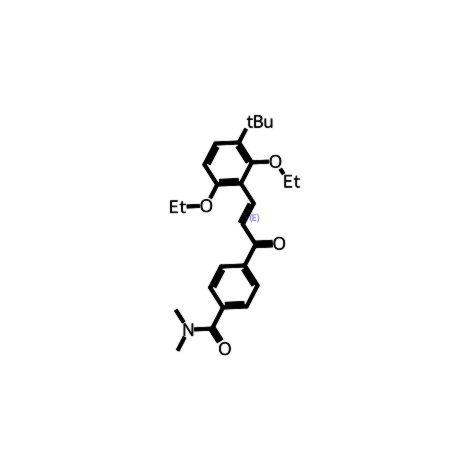 CCOc1ccc(C(C)(C)C)c(OCC)c1/C=C/C(=O)c1ccc(C(=O)N(C)C)cc1